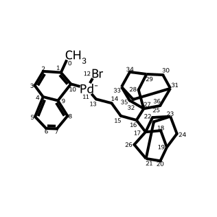 Cc1ccc2ccccc2[c]1[Pd-]([Br])[CH2]CCC(C12CC3CC(CC(C3)C1)C2)C12CC3CC(CC(C3)C1)C2